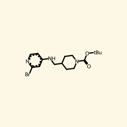 CC(C)(C)OC(=O)N1CCC(CNc2ccnc(Br)c2)CC1